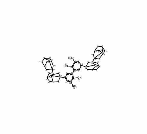 Nc1cc(C23CC4CC(C2)CC(C25CC6CC(CC(C6)C2)C5)(C4)C3)cc(-c2cc(C34CC5CC(C3)CC(C36CC7CC(CC(C7)C3)C6)(C5)C4)cc(N)c2O)c1O